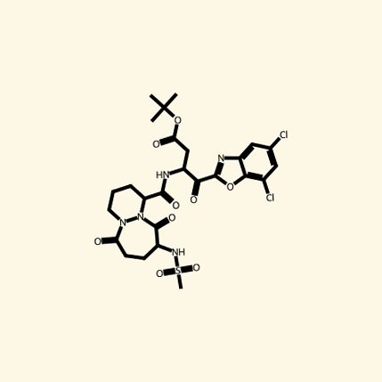 CC(C)(C)OC(=O)CC(NC(=O)C1CCCN2C(=O)CCC(NS(C)(=O)=O)C(=O)N12)C(=O)c1nc2cc(Cl)cc(Cl)c2o1